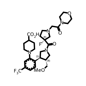 COC[C@H]1CN(C(=O)[C@@]2(F)CCN(CC(=O)N3CCOCC3)C2)C[C@@H]1c1ccc(C(F)(F)F)cc1N1CCC(C(=O)O)CC1